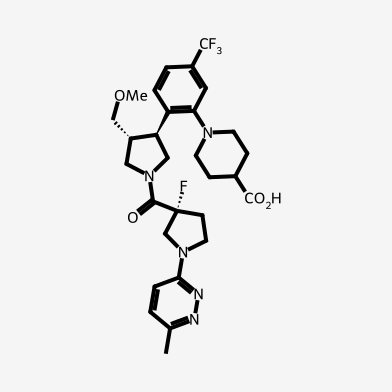 COC[C@H]1CN(C(=O)[C@@]2(F)CCN(c3ccc(C)nn3)C2)C[C@@H]1c1ccc(C(F)(F)F)cc1N1CCC(C(=O)O)CC1